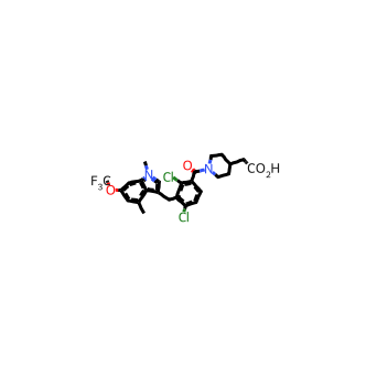 Cc1cc(OC(F)(F)F)cc2c1c(Cc1c(Cl)ccc(C(=O)N3CCC(CC(=O)O)CC3)c1Cl)cn2C